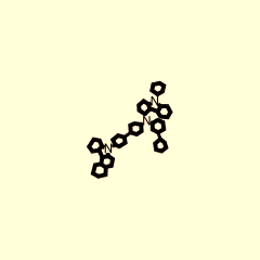 c1ccc(-c2cccc(N(c3ccc(-c4ccc(-n5c6ccccc6c6c7ccccc7ccc65)cc4)cc3)c3cccc4c3c3ccccc3n4-c3ccccc3)c2)cc1